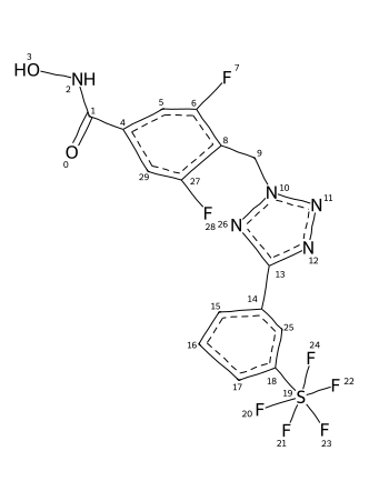 O=C(NO)c1cc(F)c(Cn2nnc(-c3cccc(S(F)(F)(F)(F)F)c3)n2)c(F)c1